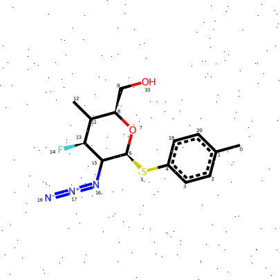 Cc1ccc(S[C@@H]2O[C@H](CO)C(C)[C@H](F)C2N=[N+]=[N-])cc1